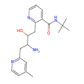 Cc1ccnc(CC(N)C(O)Cc2ncccc2C(=O)NC(C)(C)C)c1